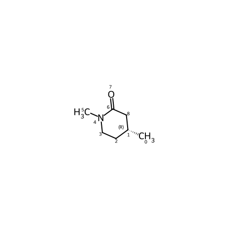 C[C@@H]1CCN(C)C(=O)C1